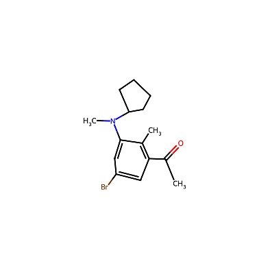 CC(=O)c1cc(Br)cc(N(C)C2CCCC2)c1C